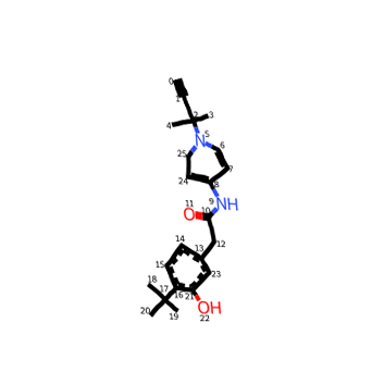 C#CC(C)(C)N1C=CC(NC(=O)Cc2ccc(C(C)(C)C)c(O)c2)=CC1